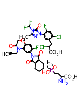 C#CCN1C(=O)COc2cc(F)c(N3C(=O)C4=C(CCCC4)C3=O)cc21.CP(=O)(O)CCC(N)C(=O)O.Cc1nn(-c2cc(CC(Cl)C(=O)O)c(Cl)cc2F)c(=O)n1C(F)F